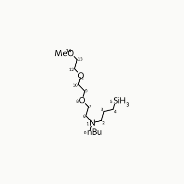 CCCCN(CCC[SiH3])CCOCCOCCOC